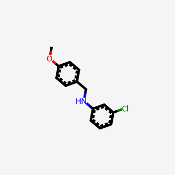 COc1ccc(CNc2cccc(Cl)c2)cc1